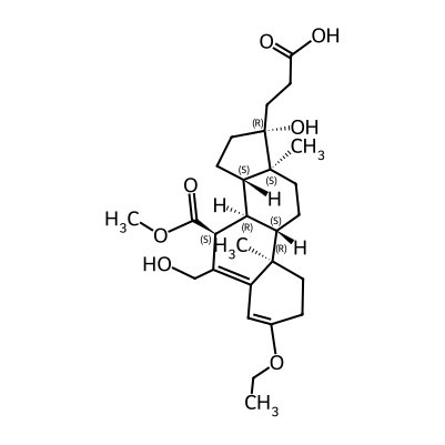 CCOC1=CC2=C(CO)[C@@H](C(=O)OC)[C@@H]3[C@H](CC[C@@]4(C)[C@H]3CC[C@@]4(O)CCC(=O)O)[C@@]2(C)CC1